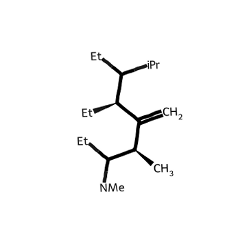 C=C([C@@H](C)C(CC)NC)[C@@H](CC)C(CC)C(C)C